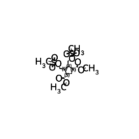 COC(=O)[C@H]1C[C@@H](C(=O)OC)[C@H](COS(C)(=O)=O)[C@@H]1COS(C)(=O)=O